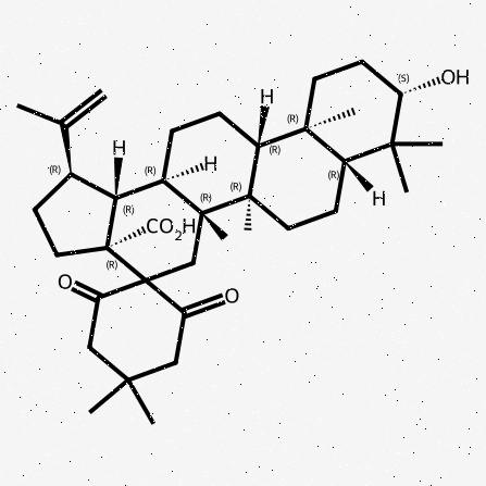 C=C(C)[C@@H]1CC[C@@]2(C(=O)O)[C@H]1[C@H]1CC[C@@H]3[C@@]4(C)CC[C@H](O)C(C)(C)[C@@H]4CC[C@@]3(C)[C@]1(C)CC21C(=O)CC(C)(C)CC1=O